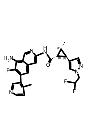 Cc1ccncc1-c1cc2cc(NC(=O)[C@@H]3[C@H](C)[C@H]3c3cnn(CC(F)F)c3)ncc2c(N)c1F